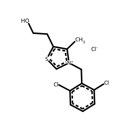 Cc1c(CCO)sc[n+]1Cc1c(Cl)cccc1Cl.[Cl-]